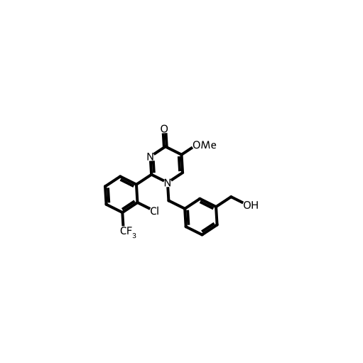 COc1cn(Cc2cccc(CO)c2)c(-c2cccc(C(F)(F)F)c2Cl)nc1=O